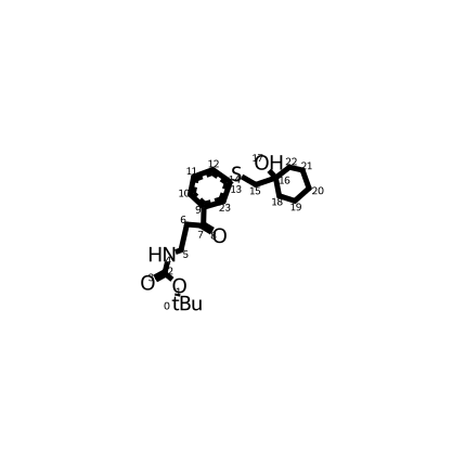 CC(C)(C)OC(=O)NCCC(=O)c1cccc(SCC2(O)CCCCC2)c1